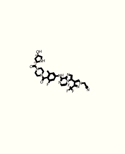 Cc1cc(Nc2nccn3c(-c4cn(CC#N)nc4C(F)(F)F)cnc23)cc(F)c1C(=O)N1CCN(C(=O)[C@@H]2C[C@@H](O)CN2)CC1